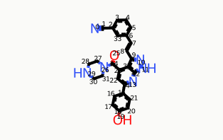 N#Cc1cccc(/C=C/c2n[nH]c3nc(-c4ccc(O)cc4)cc(C(=O)N4CCNCC4)c23)c1